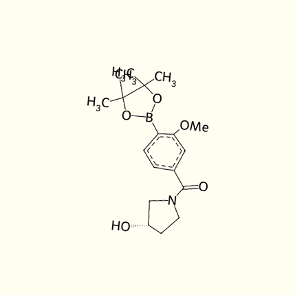 COc1cc(C(=O)N2CC[C@H](O)C2)ccc1B1OC(C)(C)C(C)(C)O1